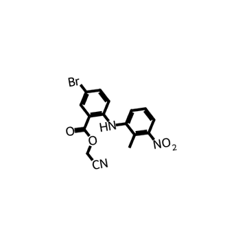 Cc1c(Nc2ccc(Br)cc2C(=O)OCC#N)cccc1[N+](=O)[O-]